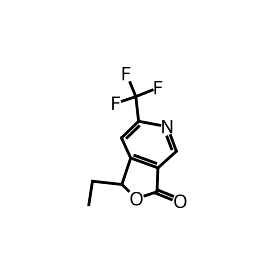 CCC1OC(=O)c2cnc(C(F)(F)F)cc21